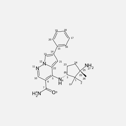 CC1(C)[C@H](Nc2c(C(N)=O)cnn3cc(-c4ccccc4)cc23)CC[C@]1(C)N